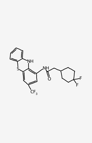 O=C(CC1CCC(F)(F)CC1)Nc1cc(C(F)(F)F)cc2c1Nc1ccccc1S2